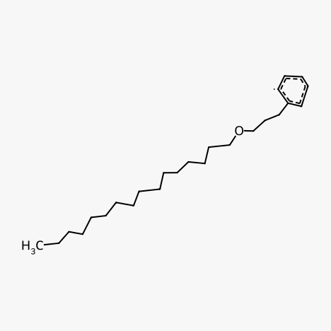 CCCCCCCCCCCCCCCCOCCCc1[c]cccc1